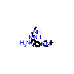 CCNCc1nc2c(N)nc3ccc(N4CCN(C(C)(C)C)CC4)cc3c2[nH]1